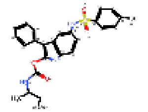 COCC(C)NC(=O)Oc1[nH]c2ccc(NS(=O)(=O)c3ccc(C(C)(C)C)cc3)cc2c1-c1ccccc1